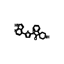 O=C(Nc1ccc(-c2ccnc3[nH]ccc23)s1)C1(c2ccccc2)CCNCC1